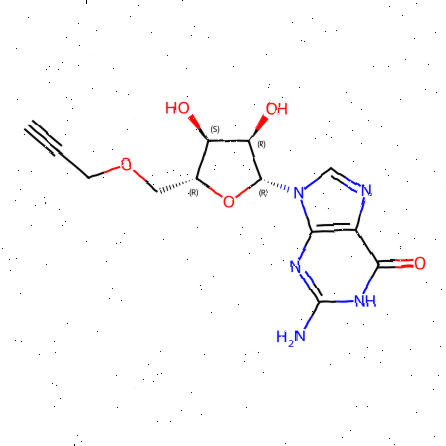 C#CCOC[C@H]1O[C@@H](n2cnc3c(=O)[nH]c(N)nc32)[C@H](O)[C@@H]1O